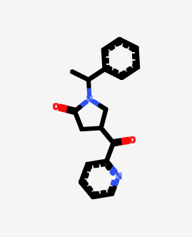 CC(c1ccccc1)N1CC(C(=O)c2ccccn2)CC1=O